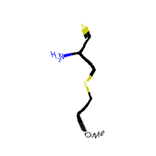 COCCSCC(N)C=S